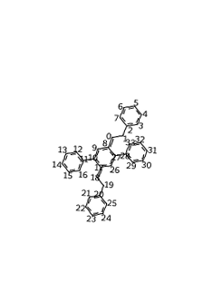 C(Cc1ccccc1)=c1cc(-c2ccccc2)c(=CCc2ccccc2)cc1-c1ccccc1